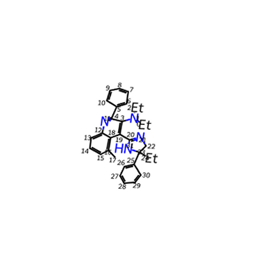 CCN(CC)c1c(-c2ccccc2)nc2cccc(C)c2c1C1=NCC(CC)(c2ccccc2)N1